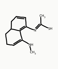 CNC1=CCCC2CC=CC(/N=C(\C)S)=C12